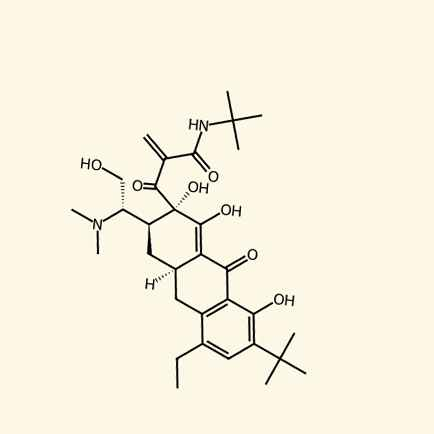 C=C(C(=O)NC(C)(C)C)C(=O)[C@@]1(O)C(O)=C2C(=O)c3c(O)c(C(C)(C)C)cc(CC)c3C[C@H]2C[C@H]1[C@@H](CO)N(C)C